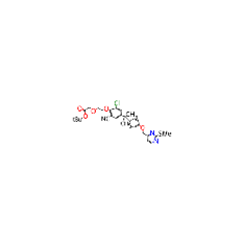 CSc1nccc(COc2ccc(C(C)(C)c3cc(Cl)c(OCCOCC(=O)OC(C)(C)C)c(C#N)c3)cc2)n1